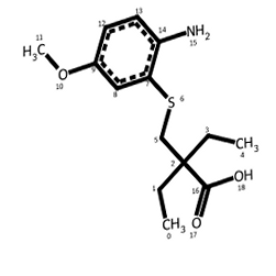 CCC(CC)(CSc1cc(OC)ccc1N)C(=O)O